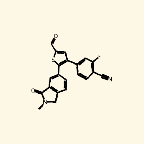 CN1Cc2ccc(-c3sc(C=O)cc3-c3ccc(C#N)c(F)c3)cc2C1=O